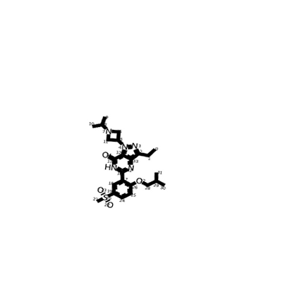 CCc1nn(C2CN(C(C)C)C2)c2c(=O)[nH]c(-c3cc(S(C)(=O)=O)ccc3OCC(C)C)nc12